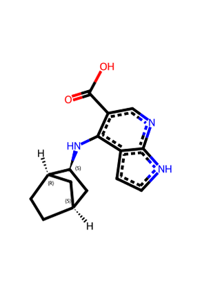 O=C(O)c1cnc2[nH]ccc2c1N[C@H]1C[C@H]2CC[C@@H]1C2